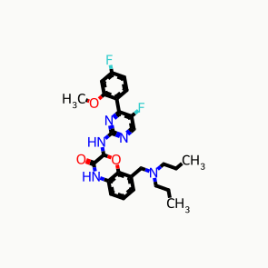 CCCN(CCC)Cc1cccc2c1OC(Nc1ncc(F)c(-c3ccc(F)cc3OC)n1)C(=O)N2